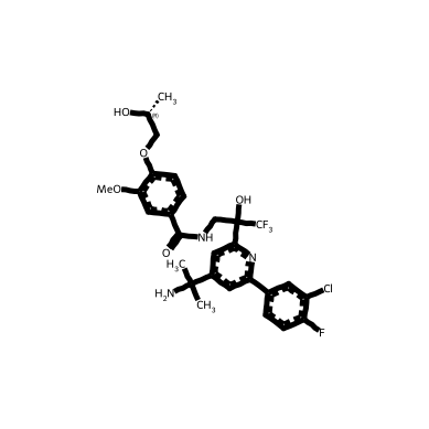 COc1cc(C(=O)NCC(O)(c2cc(C(C)(C)N)cc(-c3ccc(F)c(Cl)c3)n2)C(F)(F)F)ccc1OC[C@@H](C)O